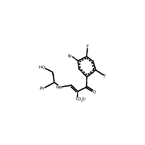 CCOC(=O)C(=CNC(CO)C(C)C)C(=O)c1cc(Br)c(F)cc1F